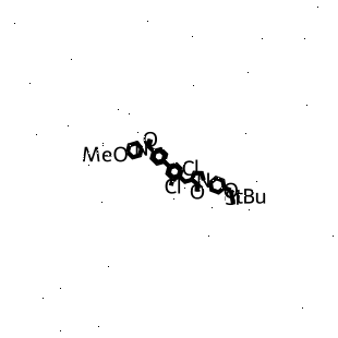 COC1CCN(C(=O)c2ccc(-c3cc(Cl)c(CC4CCN(C5CCC(O[Si](C)(C)C(C)(C)C)CC5)C4=O)c(Cl)c3)cc2)CC1